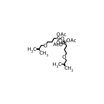 C=C(C)COCCC[Si](OC(C)=O)(OC(C)=O)O[Si](CCCOCC(=C)C)(OC(C)=O)OC(C)=O